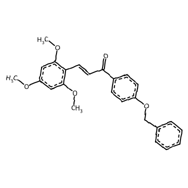 COc1cc(OC)c(/C=C/C(=O)c2ccc(OCc3ccccc3)cc2)c(OC)c1